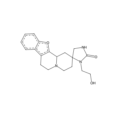 O=C1NCC2(CCN3CCc4c(oc5ccccc45)C3C2)N1CCO